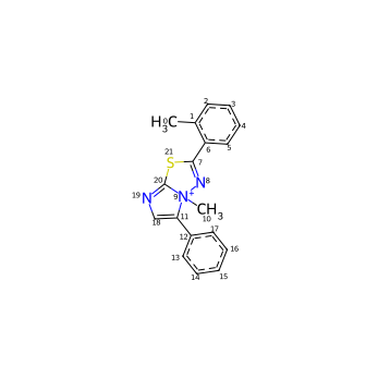 Cc1ccccc1C1=N[N+]2(C)C(c3ccccc3)=CN=C2S1